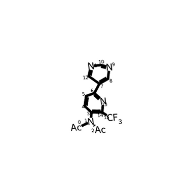 CC(=O)N(C(C)=O)c1ccc(-c2cncnc2)nc1C(F)(F)F